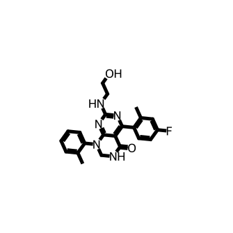 Cc1cc(F)ccc1-c1nc(NCCO)nc2c1C(=O)NCN2c1ccccc1C